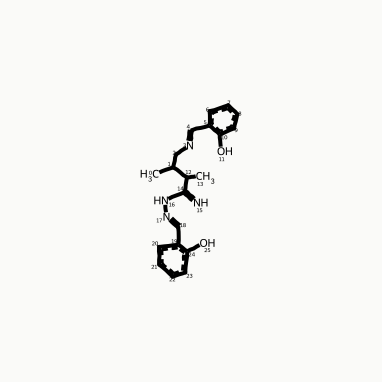 CC(C/N=C/c1ccccc1O)C(C)C(=N)N/N=C/c1ccccc1O